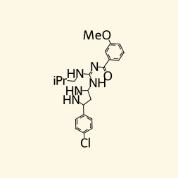 COc1cccc(C(=O)/N=C(/NCC(C)C)NC2CC(c3ccc(Cl)cc3)NN2)c1